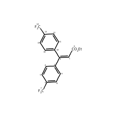 CCOC(=O)C=C(c1ccc(C(F)(F)F)cc1)c1ccc(C(F)(F)F)cc1